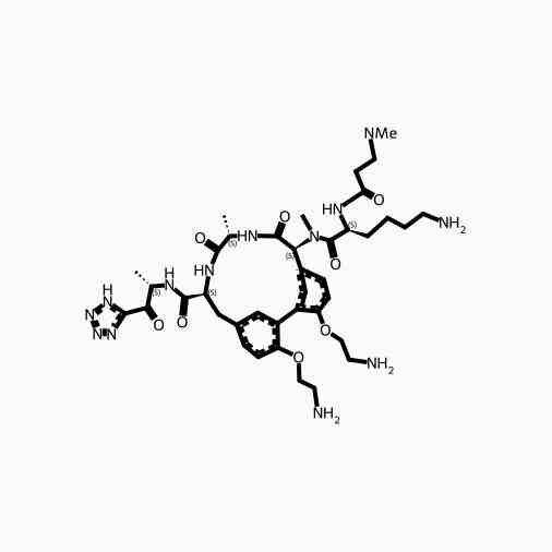 CNCCC(=O)N[C@@H](CCCCN)C(=O)N(C)[C@@H]1C(=O)N[C@@H](C)C(=O)N[C@H](C(=O)N[C@@H](C)C(=O)c2nnn[nH]2)Cc2ccc(OCCN)c(c2)-c2cc1ccc2OCCN